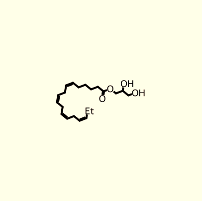 CC/C=C\C/C=C\C/C=C\C/C=C\CCCCC(=O)OCC(O)CO